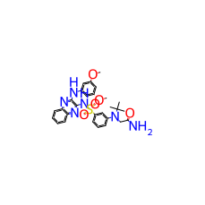 COc1cc(Nc2nc3ccccc3nc2NS(=O)(=O)c2cccc(N(CC(N)=O)C(C)(C)C)c2)cc(OC)c1